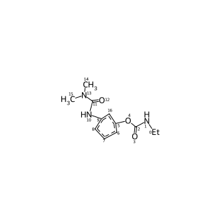 CCNC(=O)Oc1cccc(NC(=O)N(C)C)c1